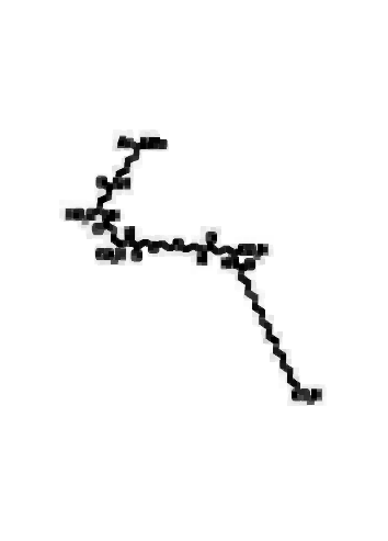 CNC(CCCCNC(=O)CCC(NC(=O)CC[C@H](NC(=O)COCCOCCNC(=O)CC[C@H](NC(=O)CCCCCCCCCCCCCCCCC(=O)O)C(=O)O)C(=O)O)C(=O)O)C(C)=O